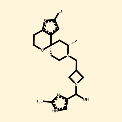 CCc1cc2c(s1)CCO[C@@]21CCN(CC2CN(C(O)c3c[nH]c(C(F)(F)F)n3)C2)[C@@H](C)C1